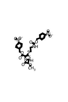 CO[C@H]1C(=O)N2C(C(=O)OCc3ccc([N+](=O)[O-])cc3)=C(SCCNC(=O)OCc3ccc([N+](=O)[O-])cc3)S[C@H]12